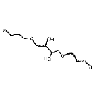 OC(COCCCBr)C(O)COCCCBr